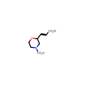 CCOC(=O)C=CC1CN(C(=O)O)CCO1